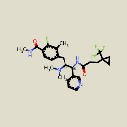 CNC(=O)c1ccc(C[C@@H]([C@@H](NC(=O)CCC2(C(F)(F)F)CC2)c2cccnc2)N(C)C)c(C)c1F